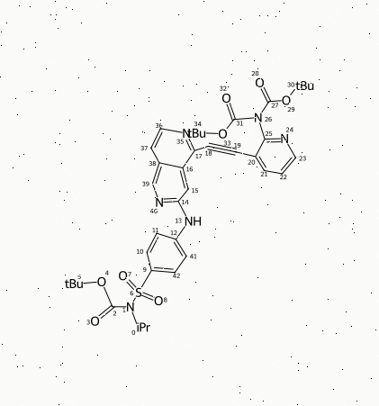 CC(C)N(C(=O)OC(C)(C)C)S(=O)(=O)c1ccc(Nc2cc3c(C#Cc4cccnc4N(C(=O)OC(C)(C)C)C(=O)OC(C)(C)C)nccc3cn2)cc1